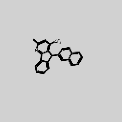 Cc1cc(C(F)(F)F)c2c(n1)-c1ccccc1C2c1ccc2ccccc2c1